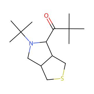 CC(C)(C)C(=O)C1C2CSCC2CN1C(C)(C)C